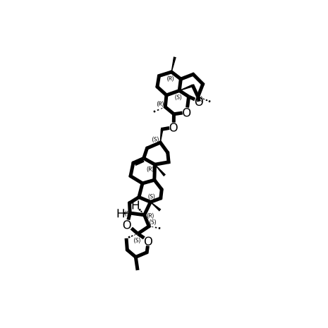 CC1CC[C@]2(OC1)O[C@H]1CC3C4CC=C5C[C@@H](COC6OC7O[C@]8(C)CCC9[C@H](C)CCC([C@H]6C)[C@@]79C8)CC[C@]5(C)C4CC[C@]3(C)[C@H]1[C@@H]2C